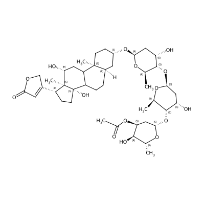 CC(=O)O[C@H]1C[C@H](O[C@H]2[C@@H](O)C[C@H](O[C@H]3[C@@H](O)C[C@H](O[C@H]4CC[C@]5(C)C6C[C@@H](O)[C@]7(C)[C@@H](C8=CC(=O)OC8)CC[C@]7(O)C6CC[C@@H]5C4)O[C@@H]3C)O[C@@H]2C)O[C@H](C)[C@H]1O